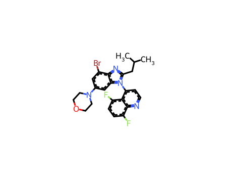 CC(C)Cc1nc2c(Br)cc(N3CCOCC3)cc2n1-c1ccnc2c(F)ccc(F)c12